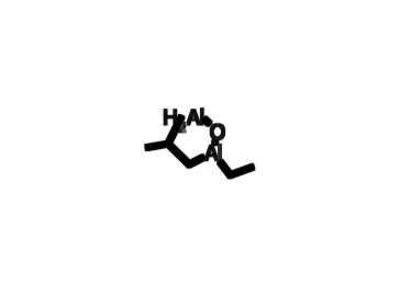 C[CH2][Al]([CH2]C(C)C)[O][AlH2]